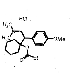 CCC(=O)OC1(C(CN(C)C)c2ccc(OC)cc2)CCCCC1.Cl